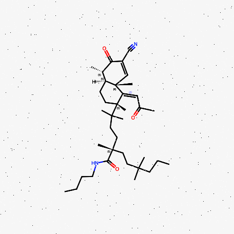 CCCCNC(=O)[C@@](C)(CCC(C)(C)CCC)CCC(C)(C)[C@]1(C)CC[C@H]2[C@H](C)C(=O)C(C#N)=C[C@]2(C)/C1=C/C(C)=O